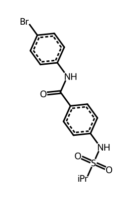 CC(C)S(=O)(=O)Nc1ccc(C(=O)Nc2ccc(Br)cc2)cc1